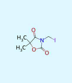 CC1(C)OC(=O)N(CI)C1=O